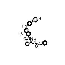 O=C(NCC(=O)N1CCC[C@H]1C(=O)Nc1ccc2nc(Nc3ccc(N4CCNCC4)cc3)cc(C(F)(F)F)c2c1)OCc1ccccc1